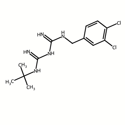 CC(C)(C)NC(=N)NC(=N)NCc1ccc(Cl)c(Cl)c1